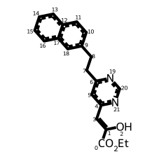 CCOC(=O)/C(O)=C/c1cc(CCc2ccc3ccccc3c2)ncn1